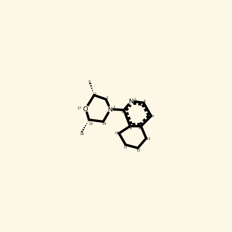 C[C@@H]1CN(c2nccc3c2CCCC3)C[C@H](C)O1